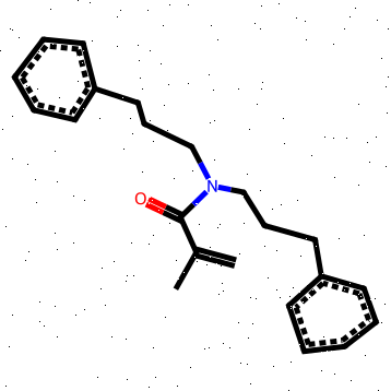 C=C(C)C(=O)N(CCCc1ccccc1)CCCc1ccccc1